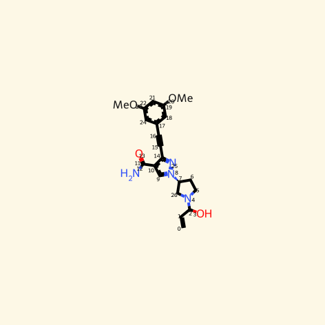 C=CC(O)N1CC[C@H](n2cc(C(N)=O)c(C#Cc3cc(OC)cc(OC)c3)n2)C1